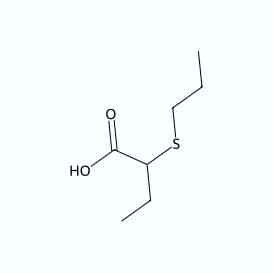 CCCSC(CC)C(=O)O